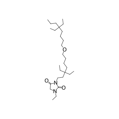 CCCC(CC)(CC)CCCCOCCCCC(CC)(CC)CCN1C(=O)CN(CC)C1=O